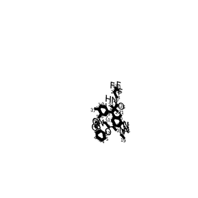 CC[C@@H]1CN(Cc2cc(C(c3ccc4c(nnn4CC)c3C)C(C)(C)C(=O)NCCC(F)(F)F)ccc2C)S(=O)(=O)c2ccccc2O1